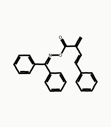 C=C(C=Cc1ccccc1)C(=O)ON=C(c1ccccc1)c1ccccc1